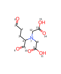 O=CCCC(C=O)N(CC(=O)O)CC(=O)O